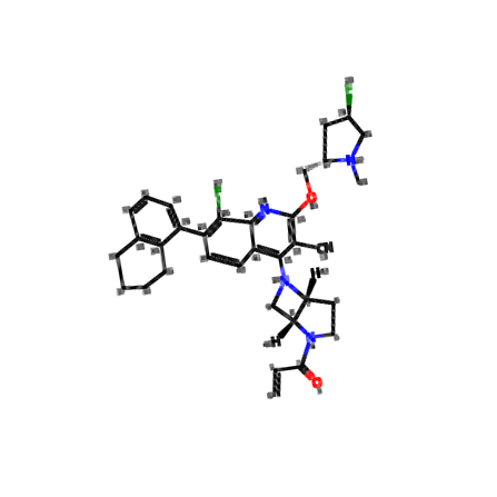 C=CC(=O)N1CC[C@@H]2[C@H]1CN2c1c(C#N)c(OC[C@@H]2C[C@@H](F)CN2C)nc2c(F)c(-c3cccc4c3CCCC4)ccc12